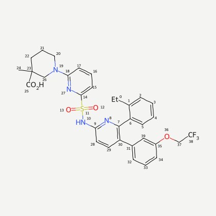 CCc1ccccc1-c1nc(NS(=O)(=O)c2cccc(N3CCCC(C)(C(=O)O)C3)n2)ccc1-c1cccc(OCC(F)(F)F)c1